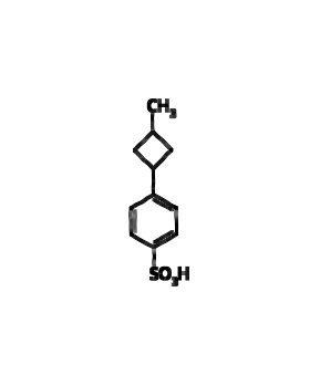 CC1CC(c2ccc(S(=O)(=O)O)cc2)C1